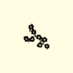 c1ccc(N(c2ccccc2)c2cccc3c2sc2cc(N(c4ccc5c(c4)sc4ccccc45)c4ccc5sc6ccccc6c5c4)ccc23)cc1